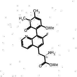 COC(=O)[C@@H](N)Cc1cc(F)c(-c2c(OC)cc(C)n(C)c2=O)c2ncccc12